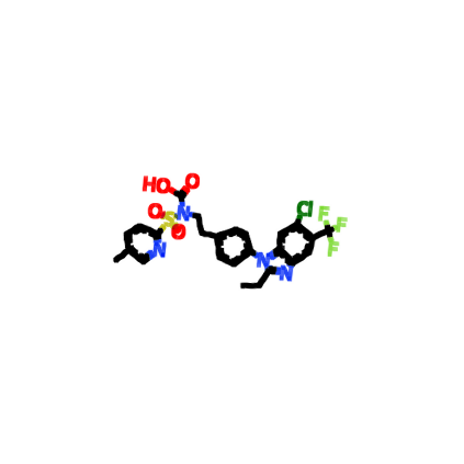 CCc1nc2cc(C(F)(F)F)c(Cl)cc2n1-c1ccc(CCN(C(=O)O)S(=O)(=O)c2ccc(C)cn2)cc1